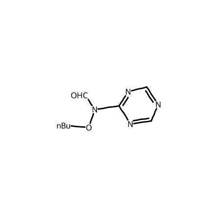 CCCCON(C=O)c1ncncn1